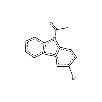 CC(=O)n1c2ccccc2c2cc(Br)ccc21